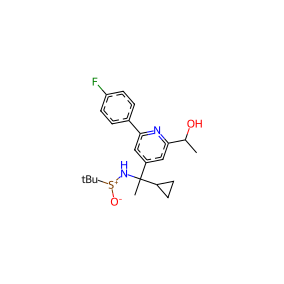 CC(O)c1cc(C(C)(N[S+]([O-])C(C)(C)C)C2CC2)cc(-c2ccc(F)cc2)n1